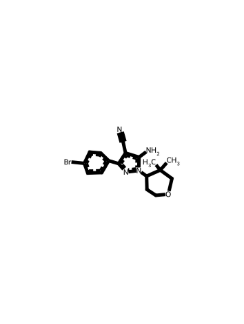 CC1(C)COCCC1n1nc(-c2ccc(Br)cc2)c(C#N)c1N